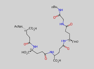 CCCCNC(=O)CNC(=O)CC[C@@H](C=O)NC(=O)CCC(NC(=O)CC[C@H](NC(=O)CC[C@H](NC(C)=O)C(=O)O)C(=O)O)C(=O)O